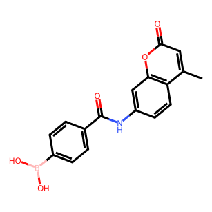 Cc1cc(=O)oc2cc(NC(=O)c3ccc(B(O)O)cc3)ccc12